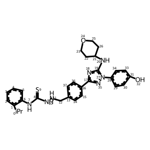 CC(C)c1ccccc1NC(=S)NNCc1ccc(-c2nc(NC3CCOCC3)n(-c3ccc(O)cc3)n2)cc1